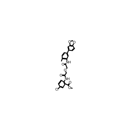 COC(=O)c1cc(Cl)ccc1NC(=O)COCC(=O)Nc1cc(-c2ccc3c(c2)OCO3)ccc1C